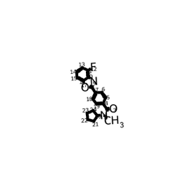 CN(C(=O)c1ccc(-c2nc3c(F)cccc3o2)cc1)C1CCCC1